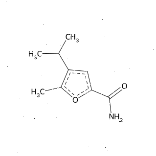 Cc1oc(C(N)=O)cc1C(C)C